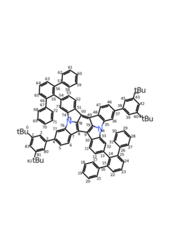 CC(C)(C)c1cc(-c2ccc3c4c5c6ccc(-c7c(-c8ccccc8)cccc7-c7ccccc7)cc6n6c7cc(-c8cc(C(C)(C)C)cc(C(C)(C)C)c8)ccc7c(c7c8ccc(-c9c(-c%10ccccc%10)cccc9-c9ccccc9)cc8n(c3c2)c47)c56)cc(C(C)(C)C)c1